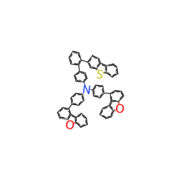 c1ccc(-c2ccc3c(c2)sc2ccccc23)c(-c2ccc(N(c3ccc(-c4cccc5oc6ccccc6c45)cc3)c3ccc(-c4cccc5oc6ccccc6c45)cc3)cc2)c1